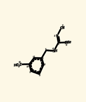 CSC(=NC#N)NCc1cccc(C(=O)O)c1